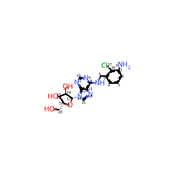 Nc1cccc(CNc2ncnc3c2ncn3[C@@H]2O[C@H](CO)[C@@H](O)[C@H]2O)c1Cl